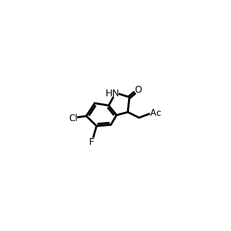 CC(=O)CC1C(=O)Nc2cc(Cl)c(F)cc21